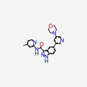 Cc1ccnc(NC(=O)c2n[nH]c3ccc(-c4cncc(N5CCOCC5)c4)cc23)c1